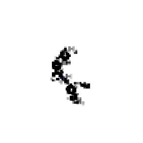 COc1cc(S(C)(=O)=O)ccc1NC/C=C/c1sc2c(N[C@@H]3CCN(C)C[C@@H]3F)cccc2c1CC(F)(F)F